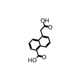 O=C(O)Cc1cccc2c(C(=O)O)cccc12